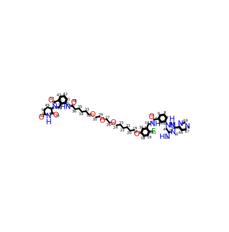 CN(C(=N)CNc1cccc(C(=O)NCc2cc(OCCCCCCOCCOCCOCCCCCC(=O)Nc3cccc4c3CN(C3CCC(=O)NC3=O)C4=O)ccc2F)c1)C(=N)c1ccncn1